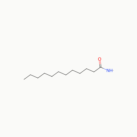 CCCCCCCCCCCC([NH])=O